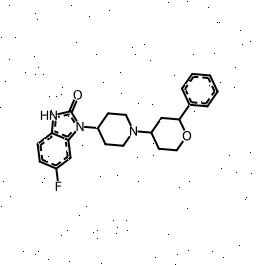 O=c1[nH]c2ccc(F)cc2n1C1CCN(C2CCOC(c3ccccc3)C2)CC1